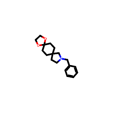 c1ccc(CN2CCC3(CCC4(CC3)OCCO4)C2)cc1